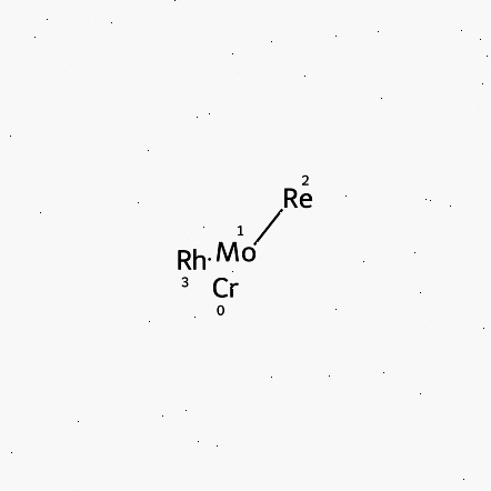 [Cr].[Mo][Re].[Rh]